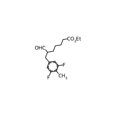 CCOC(=O)CCCCC(C=O)Cc1cc(F)c(C)c(F)c1